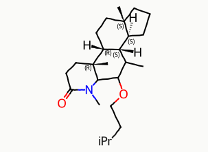 CC(C)CCOC1C(C)[C@@H]2[C@@H](CC[C@]3(C)CCC[C@@H]23)[C@@]2(C)CCC(=O)N(C)C12